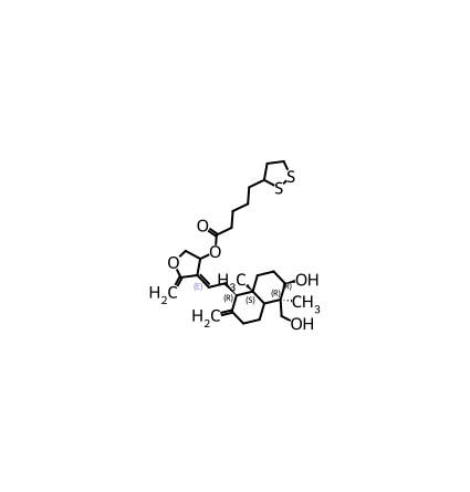 C=C1OCC(OC(=O)CCCCC2CCSS2)/C1=C\C[C@@H]1C(=C)CCC2[C@](C)(CO)[C@H](O)CC[C@]21C